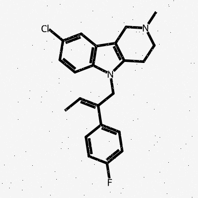 C/C=C(/Cn1c2c(c3cc(Cl)ccc31)CN(C)CC2)c1ccc(F)cc1